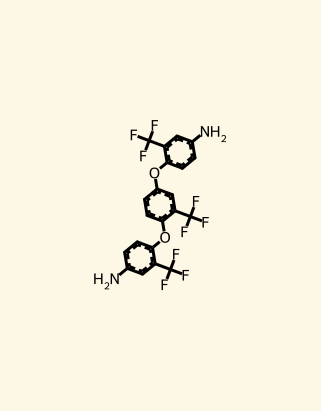 Nc1ccc(Oc2ccc(Oc3ccc(N)cc3C(F)(F)F)c(C(F)(F)F)c2)c(C(F)(F)F)c1